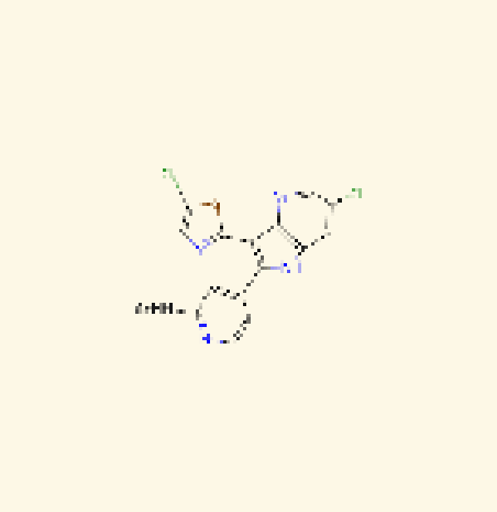 CC(=O)Nc1cc(-c2[nH]c3cc(Cl)cnc3c2-c2ncc(Cl)s2)ccn1